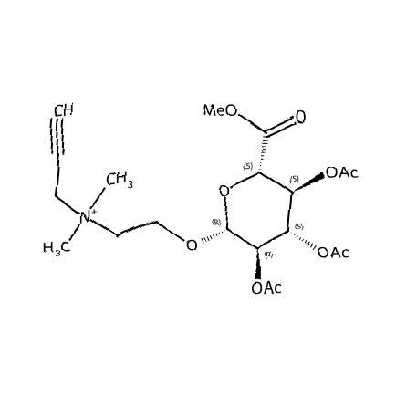 C#CC[N+](C)(C)CCO[C@@H]1O[C@H](C(=O)OC)[C@@H](OC(C)=O)[C@H](OC(C)=O)[C@H]1OC(C)=O